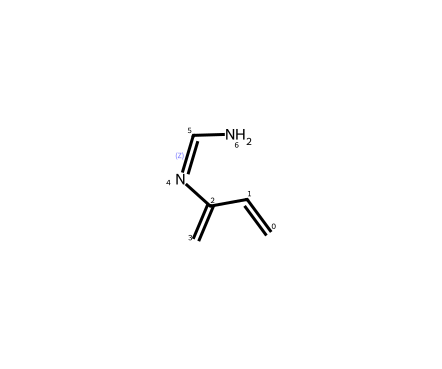 C=CC(=C)/N=C\N